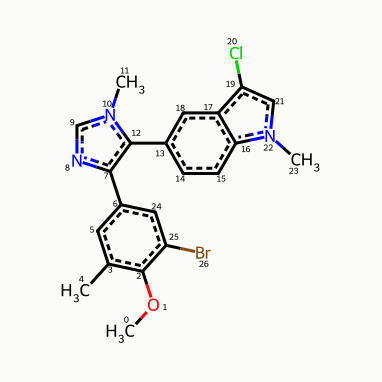 COc1c(C)cc(-c2ncn(C)c2-c2ccc3c(c2)c(Cl)cn3C)cc1Br